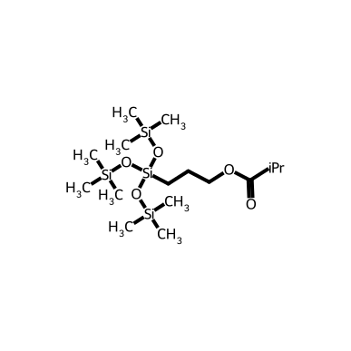 CC(C)C(=O)OCCC[Si](O[Si](C)(C)C)(O[Si](C)(C)C)O[Si](C)(C)C